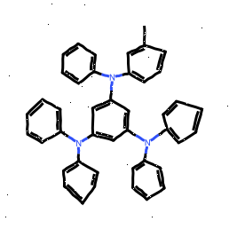 Cc1cccc(N(c2ccccc2)c2cc(N(c3ccccc3)c3ccccc3)cc(N(c3ccccc3)c3ccccc3)c2)c1